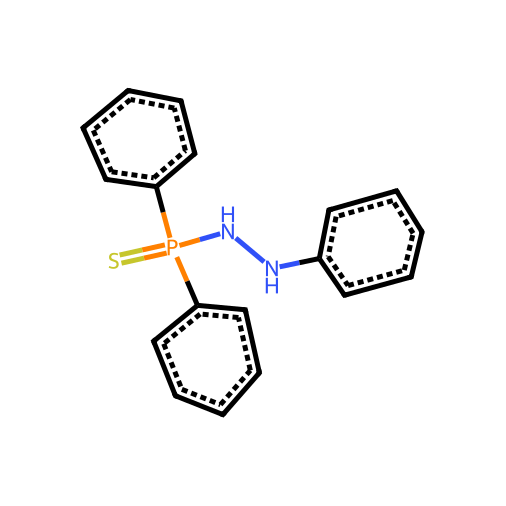 S=P(NNc1ccccc1)(c1ccccc1)c1ccccc1